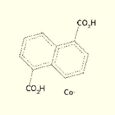 O=C(O)c1cccc2c(C(=O)O)cccc12.[Co]